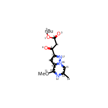 CCCCOC(=O)CC(=O)c1cc2c(OC)nc(C)cn2n1